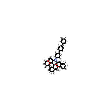 c1ccc(-c2ccc(-c3ccc(N(c4ccc5ccccc5c4)c4ccccc4-c4cccc5cccc(C6CCCCC6)c45)cc3)cc2)cc1